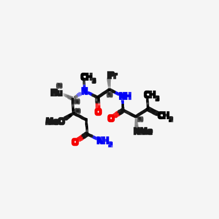 C=C(C)[C@H](NC)C(=O)N[C@H](C(=O)N(C)[C@@H]([C@@H](C)CC)[C@@H](CC(N)=O)OC)C(C)C